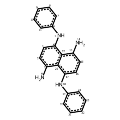 Nc1ccc(Nc2ccccc2)c2c(N)ccc(Nc3ccccc3)c12